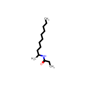 CCCCCCCCCC(C)NC(=O)CC